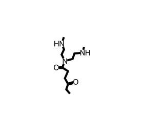 CCC(=O)CCC(=O)N(CCNC)CCNC